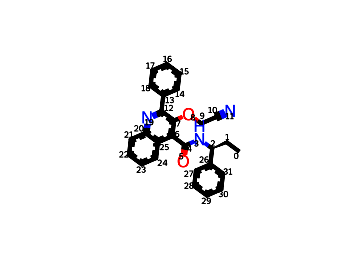 CC[C@H](NC(=O)c1c(OCC#N)c(-c2ccccc2)nc2ccccc12)c1ccccc1